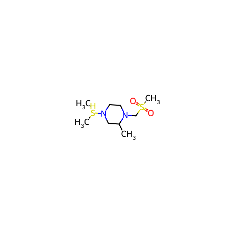 CC1CN([SH](C)C)CCN1CS(C)(=O)=O